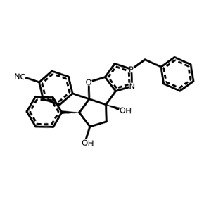 N#Cc1ccc(C23Oc4cp(Cc5ccccc5)nc4[C@]2(O)CC(O)[C@H]3c2ccccc2)cc1